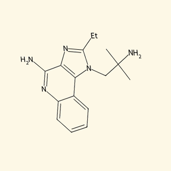 CCc1nc2c(N)nc3ccccc3c2n1CC(C)(C)N